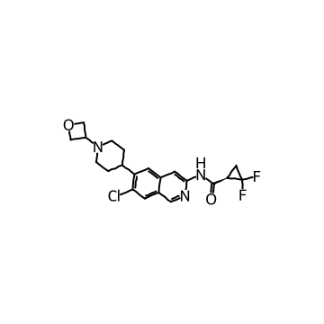 O=C(Nc1cc2cc(C3CCN(C4COC4)CC3)c(Cl)cc2cn1)[C@H]1CC1(F)F